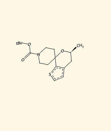 C[C@H]1Cc2ccsc2C2(CCN(C(=O)OC(C)(C)C)CC2)O1